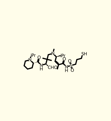 CC(=C[C@H](C(C)C)N(C)CC(C)(C)[C@@H](C=O)NC(=O)[C@@H]1CCCCN1C(C)C)C(=O)NS(=O)(=O)CCCS